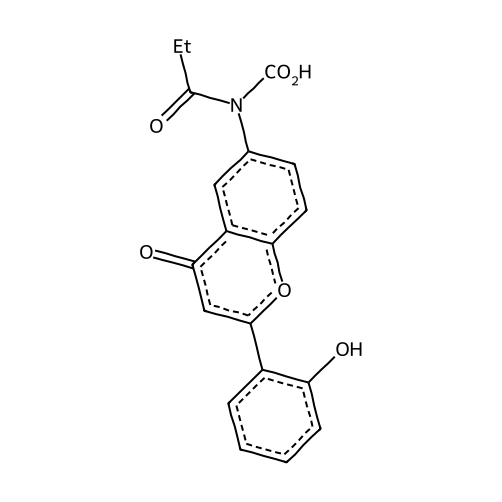 CCC(=O)N(C(=O)O)c1ccc2oc(-c3ccccc3O)cc(=O)c2c1